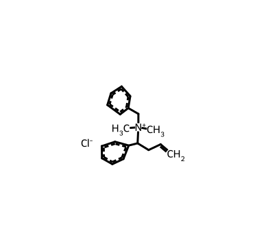 C=CCC(c1ccccc1)[N+](C)(C)Cc1ccccc1.[Cl-]